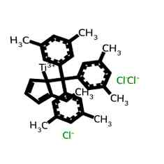 CCC1=CC=C[C]1([Ti+3])C(c1cc(C)cc(C)c1)(c1cc(C)cc(C)c1)c1cc(C)cc(C)c1.[Cl-].[Cl-].[Cl-]